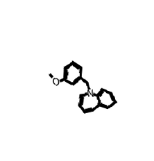 COc1cccc(CN2C=CC=Cc3ccccc32)c1